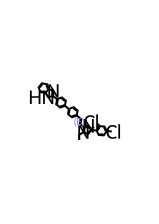 CCn1cc(-c2ccc(Cl)cc2Cl)nc1/C=C/c1ccc(-c2ccc(-c3nc4ccccc4[nH]3)cc2)cc1